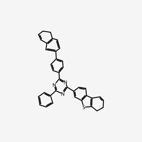 C1=Cc2cc(-c3ccc(-c4nc(-c5ccccc5)nc(-c5ccc6c7c(sc6c5)CCC=C7)n4)cc3)ccc2CC1